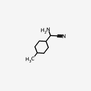 CC1CCC(C(N)C#N)CC1